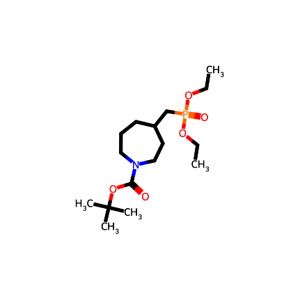 CCOP(=O)(CC1CCCN(C(=O)OC(C)(C)C)CC1)OCC